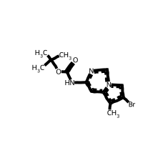 Cc1c(Br)cn2cnc(NC(=O)OC(C)(C)C)cc12